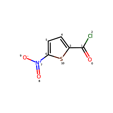 O=C(Cl)c1ccc([N+](=O)[O-])s1